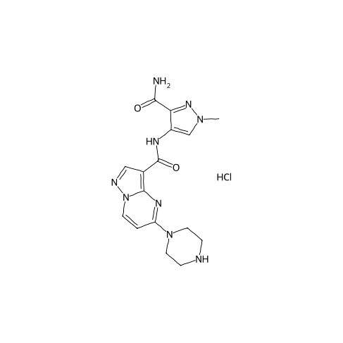 Cl.Cn1cc(NC(=O)c2cnn3ccc(N4CCNCC4)nc23)c(C(N)=O)n1